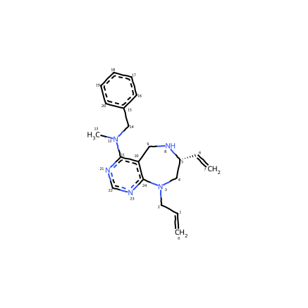 C=CCN1C[C@@H](C=C)NCc2c(N(C)Cc3ccccc3)ncnc21